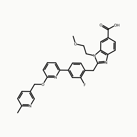 COCCn1c(Cc2ccc(-c3cccc(OCc4ccc(C)nc4)n3)cc2F)nc2ccc(C(=O)O)cc21